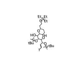 CC[Si](CC)(CC)OCCC1CC[C@@H]2OC(C(/C=C/I)O[Si](C)(C)C(C)(C)C)C(O[Si](C)(C)C(C)(C)C)[C@@H](O)C2O1